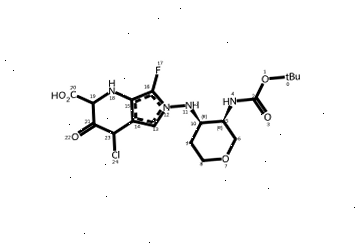 CC(C)(C)OC(=O)N[C@H]1COCC[C@H]1Nn1cc2c(c1F)NC(C(=O)O)C(=O)C2Cl